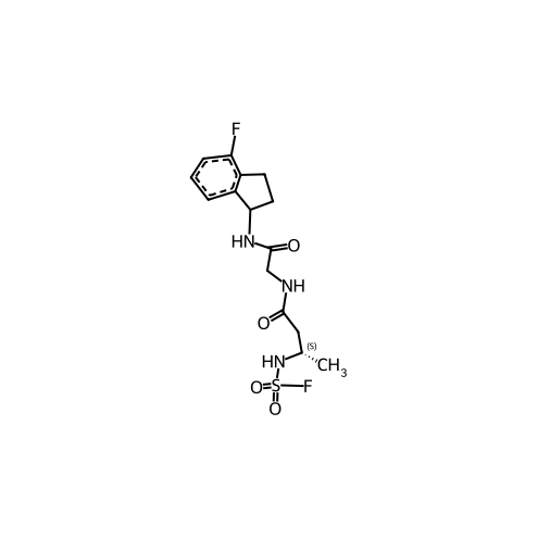 C[C@@H](CC(=O)NCC(=O)NC1CCc2c(F)cccc21)NS(=O)(=O)F